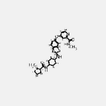 CNC(=O)c1cc(Oc2ccc3nc(NC4CCC(NC(=O)C5CCCN5C)CC4)sc3c2)ccn1